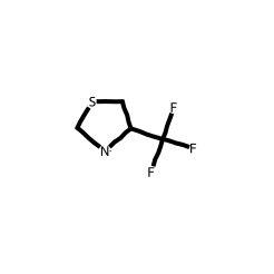 FC(F)(F)C1CSC[N]1